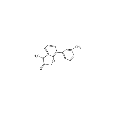 Cc1ccnc(-c2cccc3c2OCC(=O)N3C)c1